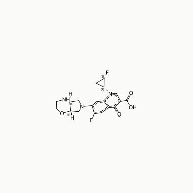 O=C(O)c1cn([C@@H]2C[C@@H]2F)c2cc(N3C[C@@H]4NCCO[C@H]4C3)c(F)cc2c1=O